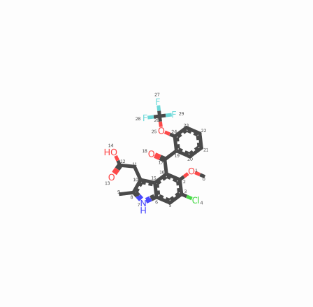 COc1c(Cl)cc2[nH]c(C)c(CC(=O)O)c2c1C(=O)c1ccccc1OC(F)(F)F